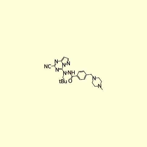 CN1CCN(Cc2ccc(C(=O)NN(CC(C)(C)C)c3nc(C#N)nc4ccnn34)cc2)CC1